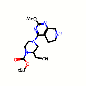 COc1nc2c(c(N3CCN(C(=O)OC(C)(C)C)C(CC#N)C3)n1)CCNC2